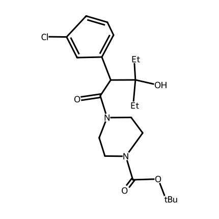 CCC(O)(CC)C(C(=O)N1CCN(C(=O)OC(C)(C)C)CC1)c1cccc(Cl)c1